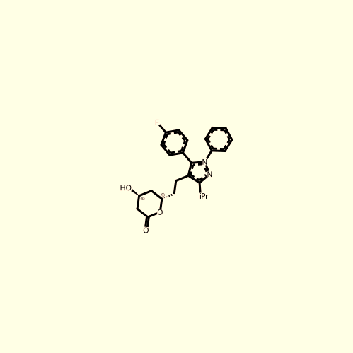 CC(C)c1nn(-c2ccccc2)c(-c2ccc(F)cc2)c1CC[C@H]1C[C@H](O)CC(=O)O1